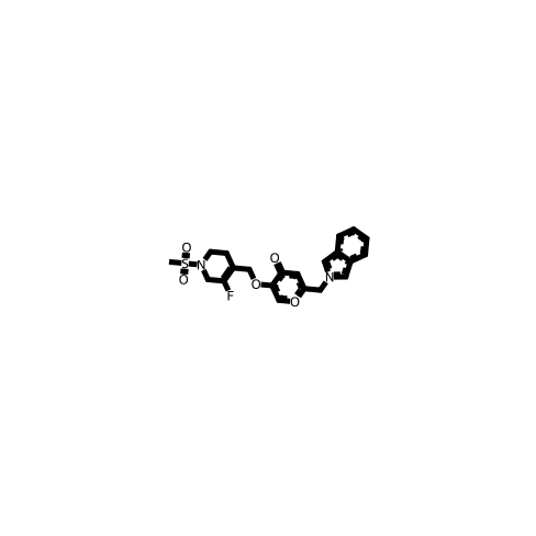 CS(=O)(=O)N1CCC(COc2coc(Cn3cc4ccccc4c3)cc2=O)=C(F)C1